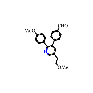 COCCc1cnc(-c2ccc(OC)cc2)c(-c2ccc(C=O)cc2)c1